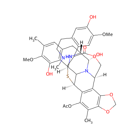 COc1cc2c(cc1O)CCN(C)[C@]21CS[C@@H]2c3c(OC(C)=O)c(C)c4c(c3[C@H](COC1=O)N1C2[C@@H]2N[C@H](Cc3cc(C)c(OC)c(O)c32)[C@@H]1O)OCO4